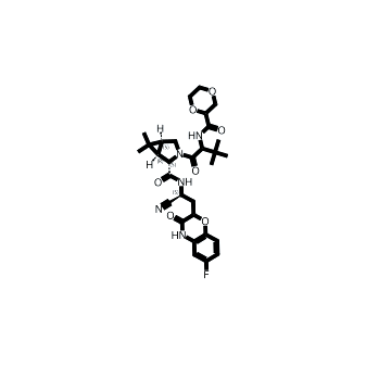 CC(C)(C)C(NC(=O)C1COCCO1)C(=O)N1C[C@H]2[C@@H]([C@H]1C(=O)N[C@H](C#N)CC1Oc3ccc(F)cc3NC1=O)C2(C)C